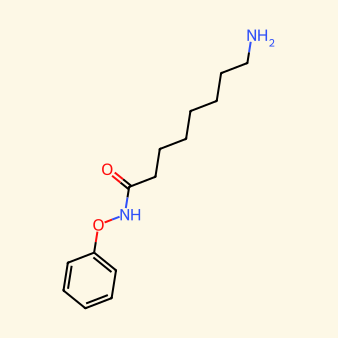 NCCCCCCCC(=O)NOc1ccccc1